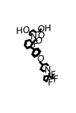 O=C(O)[C@@H]1C[C@@H](O)CN1C(=O)C1(F)CC=CC=C1c1ccc(OCC2CCN(CC3(C(F)(F)F)CCC3)CC2)cc1